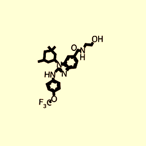 CC1CC(n2c(Nc3ccc(OC(F)(F)F)cc3)nc3ccc(C(=O)NCCO)cc32)CC(C)(C)C1